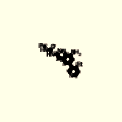 CCc1ccncc1-c1cc(N)c2nnc(NC(=O)NC(C)C)cc2c1